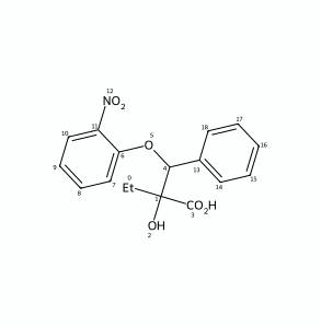 CCC(O)(C(=O)O)C(Oc1ccccc1[N+](=O)[O-])c1ccccc1